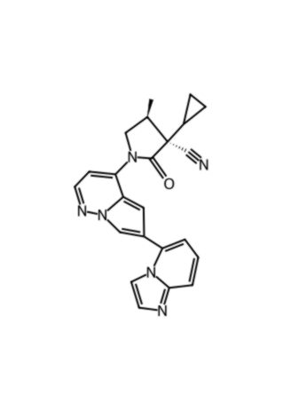 C[C@@H]1CN(c2ccnn3cc(-c4cccc5nccn45)cc23)C(=O)[C@]1(C#N)C1CC1